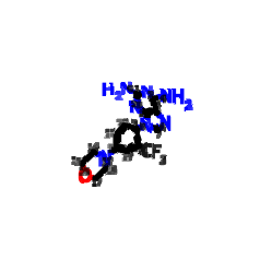 Nc1nc(N)c2ncn(-c3ccc(N4CCOCC4)cc3C(F)(F)F)c2n1